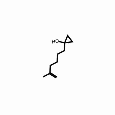 C=C(C)CCCCC1(O)CC1